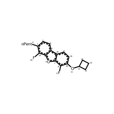 CCCCCc1ccc2c(oc3c(F)c(OC4CCC4)ccc32)c1F